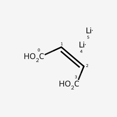 O=C(O)/C=C\C(=O)O.[Li].[Li]